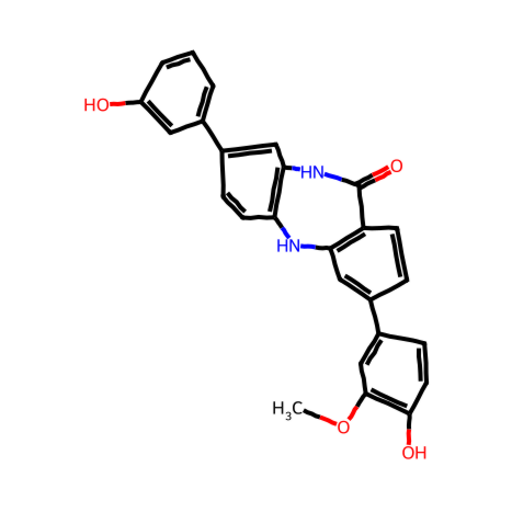 COc1cc(-c2ccc3c(c2)Nc2ccc(-c4cccc(O)c4)cc2NC3=O)ccc1O